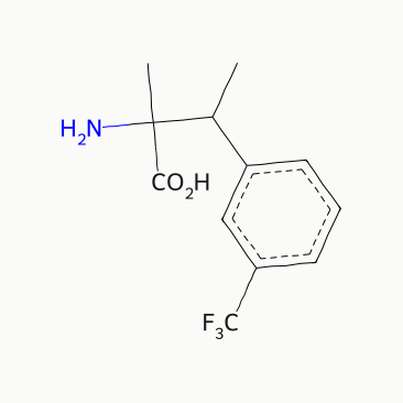 CC(c1cccc(C(F)(F)F)c1)C(C)(N)C(=O)O